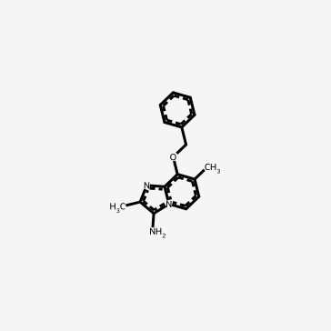 Cc1ccn2c(N)c(C)nc2c1OCc1ccccc1